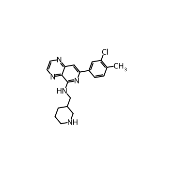 Cc1ccc(-c2cc3nccnc3c(NCC3CCCNC3)n2)cc1Cl